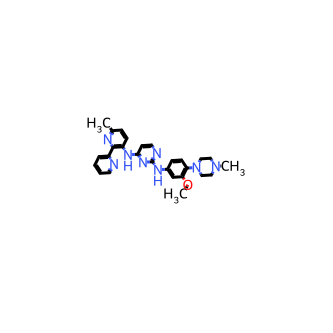 COc1cc(Nc2nccc(Nc3ccc(C)nc3-c3ccccn3)n2)ccc1N1CCN(C)CC1